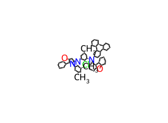 Cc1cc(N(c2ccc3c4ccccc4c4ccccc4c3c2)c2cccc3oc4ccccc4c23)c(Cl)c(-n2c3c(C)cc(C)cc3n3c4c(cc23)oc2ccccc24)c1